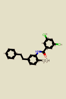 O=C(Nc1cc(CCc2ccccc2)ccc1C(=O)O)c1cc(Cl)cc(Cl)c1